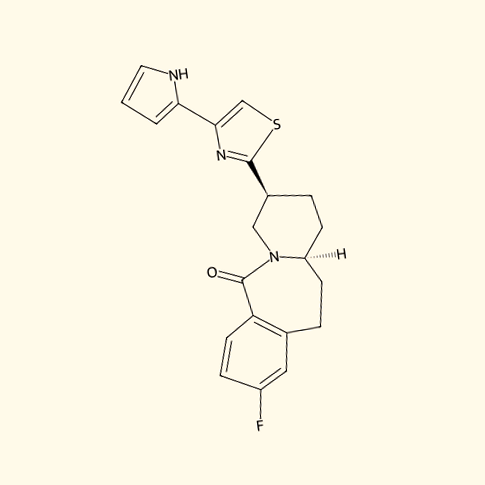 O=C1c2ccc(F)cc2CC[C@@H]2CC[C@H](c3nc(-c4ccc[nH]4)cs3)CN12